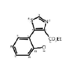 CCOC(=O)c1ncsc1-c1ccccc1Cl